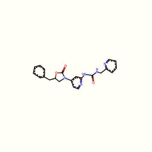 O=C(NCc1ccccn1)Nc1cc(N2CC(Cc3ccccc3)OC2=O)ccn1